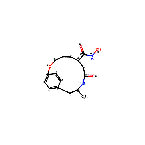 CC1Cc2ccc(cc2)OCCCC(C(=O)NO)CC(=O)N1